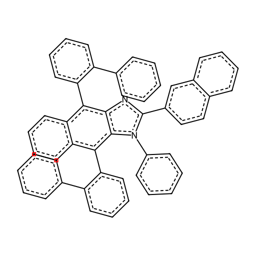 c1ccc(-c2ccccc2-c2c3ccccc3c(-c3ccccc3-c3ccccc3)c3c2nc(-c2ccc4ccccc4c2)n3-c2ccccc2)cc1